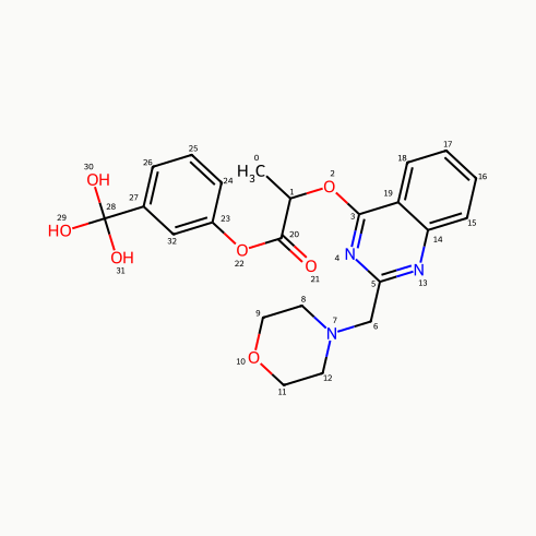 CC(Oc1nc(CN2CCOCC2)nc2ccccc12)C(=O)Oc1cccc(C(O)(O)O)c1